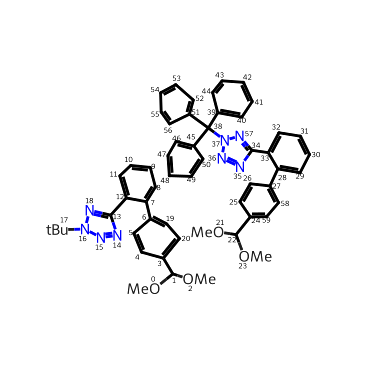 COC(OC)c1ccc(-c2ccccc2-c2nnn(C(C)(C)C)n2)cc1.COC(OC)c1ccc(-c2ccccc2-c2nnn(C(c3ccccc3)(c3ccccc3)c3ccccc3)n2)cc1